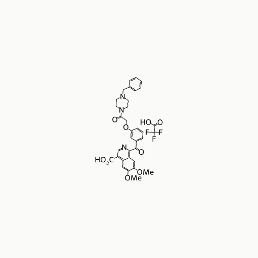 COc1cc2c(C(=O)O)cnc(C(=O)c3cccc(OCC(=O)N4CCN(Cc5ccccc5)CC4)c3)c2cc1OC.O=C(O)C(F)(F)F